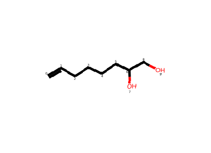 C=CCCCCC(O)CO